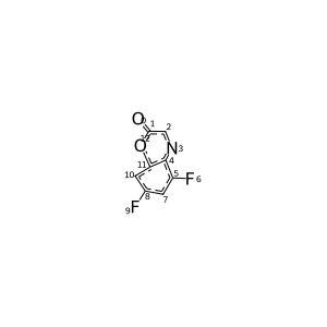 O=c1cnc2c(F)cc(F)cc2o1